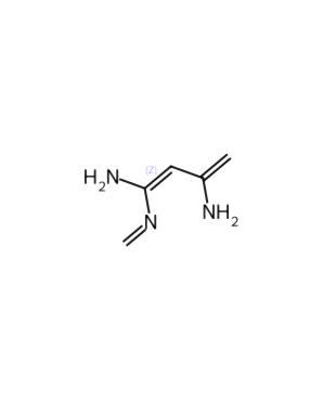 C=N/C(N)=C\C(=C)N